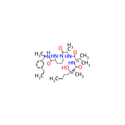 C=CCC[C@@H](O)[C@@H](C)C(=O)N[C@H](C(=O)NC(C)C(=O)N1CCCC(C(=O)N[C@H](C)c2cccc(C=C)c2)N1)C(C)C